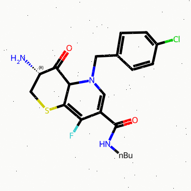 CCCCNC(=O)C1=CN(Cc2ccc(Cl)cc2)C2C(=O)[C@@H](N)CSC2=C1F